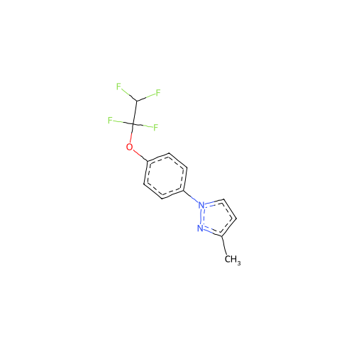 Cc1ccn(-c2ccc(OC(F)(F)C(F)F)cc2)n1